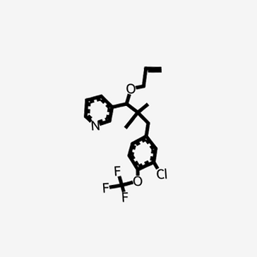 C=CCOC(c1cccnc1)C(C)(C)Cc1ccc(OC(F)(F)F)c(Cl)c1